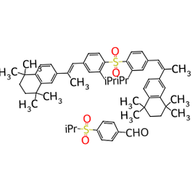 CC(=Cc1ccc(S(=O)(=O)c2ccc(C=C(C)c3ccc4c(c3)C(C)(C)CCC4(C)C)cc2C(C)C)c(C(C)C)c1)c1ccc2c(c1)C(C)(C)CCC2(C)C.CC(C)S(=O)(=O)c1ccc(C=O)cc1